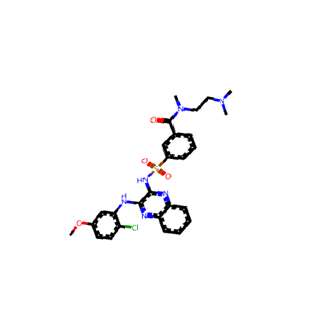 COc1ccc(Cl)c(Nc2nc3ccccc3nc2NS(=O)(=O)c2cccc(C(=O)N(C)CCN(C)C)c2)c1